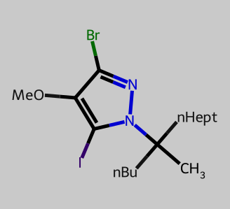 CCCCCCCC(C)(CCCC)n1nc(Br)c(OC)c1I